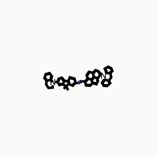 CC1(C)c2cc(/C=C/c3ccc4ccc5c(N6c7ccccc7Cc7ccccc76)ccc6ccc3c4c65)ccc2-c2ccc(N3CCCc4ccccc43)cc21